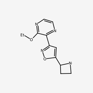 CCOc1nccnc1-c1cc(C2CC[N]2)on1